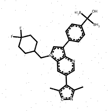 BC(B)(O)c1ccc(-c2cn(CC3CCC(F)(F)CC3)c3cc(-c4c(C)noc4C)cnc23)cc1